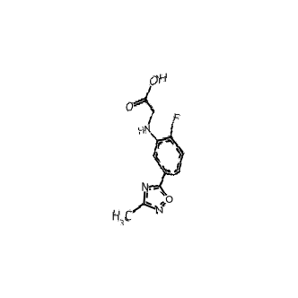 Cc1noc(-c2ccc(F)c(NCC(=O)O)c2)n1